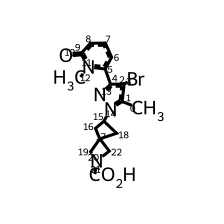 Cc1c(Br)c(-c2cccc(=O)n2C)nn1C1CC2(C1)CN(C(=O)O)C2